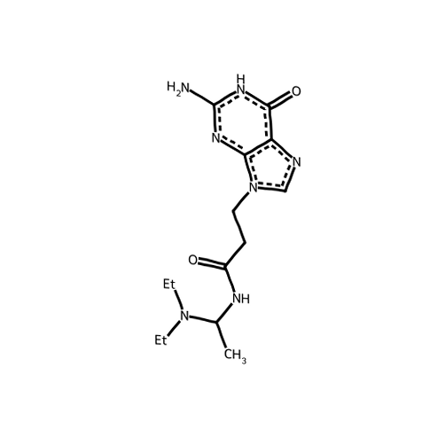 CCN(CC)C(C)NC(=O)CCn1cnc2c(=O)[nH]c(N)nc21